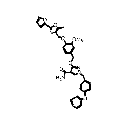 COc1cc(COc2nn(Cc3ccc(Oc4ccccc4)cc3)cc2C(N)=O)ccc1OCc1nc(-c2ccco2)oc1C